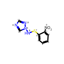 O=[N+]([O-])c1ccccc1SNn1cncn1